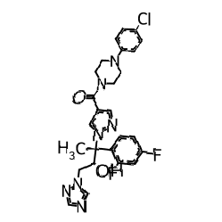 C[C@@](c1ccc(F)cc1F)([C@@H](O)Cn1cncn1)n1cc(C(=O)N2CCN(c3ccc(Cl)cc3)CC2)cn1